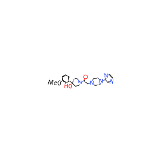 COc1cccc(C2(O)CCN(C(=O)CN3CCN(c4cnccn4)CC3)CC2)c1